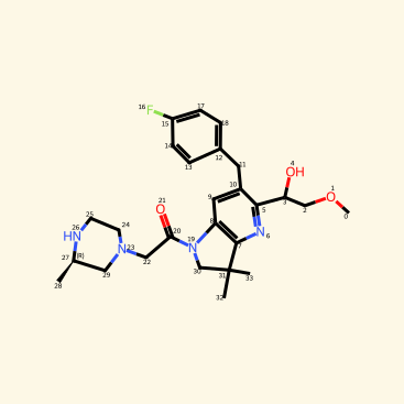 COCC(O)c1nc2c(cc1Cc1ccc(F)cc1)N(C(=O)CN1CCN[C@H](C)C1)CC2(C)C